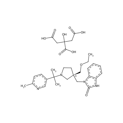 CCOC[C@]1(Cn2c(=O)[nH]c3ccccc32)CCN(C(C)(C)c2ccc(C)nc2)C1.O=C(O)CC(O)(CC(=O)O)C(=O)O